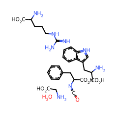 N=C(N)NCCCC(N)C(=O)O.NC(Cc1c[nH]c2ccccc12)C(=O)O.NCC(=O)O.O.O=C=NC(Cc1ccccc1)C(=O)O